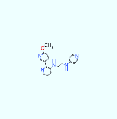 COc1ccc(-c2ncccc2NCCNc2ccncc2)cn1